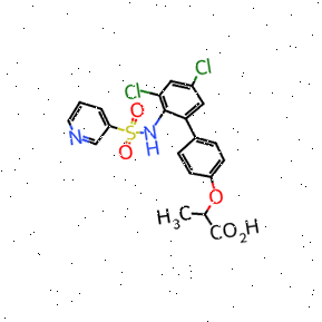 CC(Oc1ccc(-c2cc(Cl)cc(Cl)c2NS(=O)(=O)c2cccnc2)cc1)C(=O)O